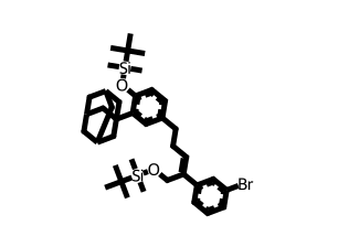 CC(C)(C)[Si](C)(C)OC/C(=C\CCc1ccc(O[Si](C)(C)C(C)(C)C)c(C23CC4CC(CC(C4)C2)C3)c1)c1cccc(Br)c1